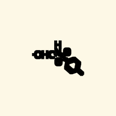 Cc1ccc(S(=O)(=O)N[C]=O)cc1